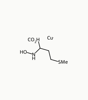 CSCCC(NO)C(=O)O.[Cu]